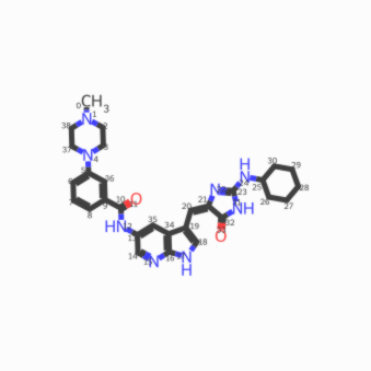 CN1CCN(c2cccc(C(=O)Nc3cnc4[nH]cc(/C=C5/N=C(NC6CCCCC6)NC5=O)c4c3)c2)CC1